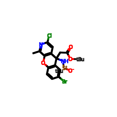 Cc1nc(Cl)cc2c1Oc1ccc(Br)cc1C2(CC(=O)OC(C)(C)C)N[S+]([O-])C(C)(C)C